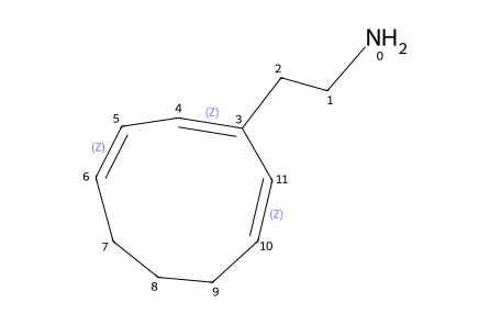 NCCC1=C/C=C\CCC/C=C\1